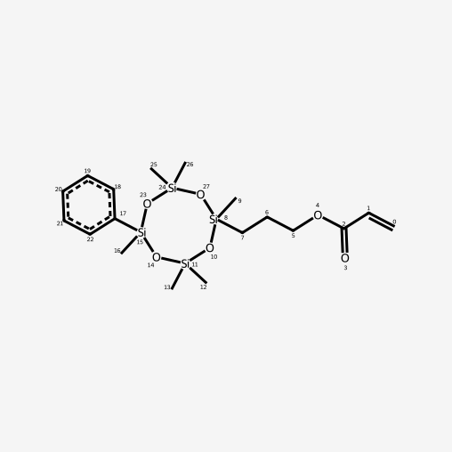 C=CC(=O)OCCC[Si]1(C)O[Si](C)(C)O[Si](C)(c2ccccc2)O[Si](C)(C)O1